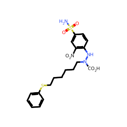 NS(=O)(=O)c1ccc(NN(CCCCCCSc2ccccc2)C(=O)O)c([N+](=O)[O-])c1